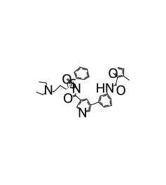 CCN(CC)CCC[S@@](=O)(=NC(=O)c1cncc(-c2cccc(NC(=O)c3occc3C)c2)c1)c1ccccc1